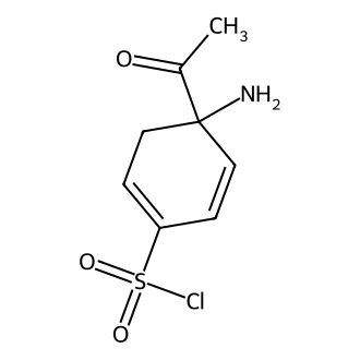 CC(=O)C1(N)C=CC(S(=O)(=O)Cl)=CC1